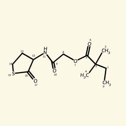 CCC(C)(C)C(=O)OCC(=O)NC1CCSC1=O